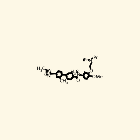 COc1ccc(N(C)C(=O)c2ccc(-c3ccc(-c4noc(C)n4)cc3C)cc2)cc1OCCN(C(C)C)C(C)C